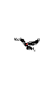 COc1ccc(COc2ccc(C(=O)N3CCC[C@H]3C(N)=O)c(OC[C@H](O)CN3CCC4(CC3)Cc3cc(Cl)ccc3O4)c2)cc1